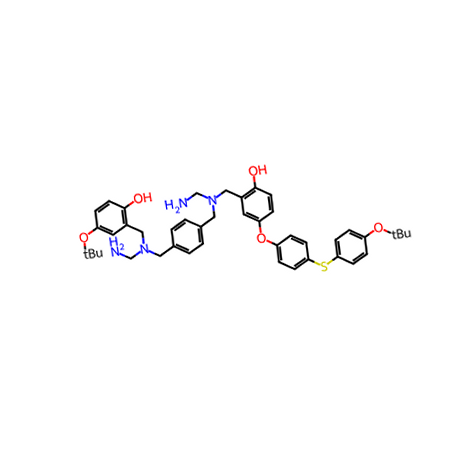 CC(C)(C)Oc1ccc(Sc2ccc(Oc3ccc(O)c(CN(CN)Cc4ccc(CN(CN)Cc5cc(OC(C)(C)C)ccc5O)cc4)c3)cc2)cc1